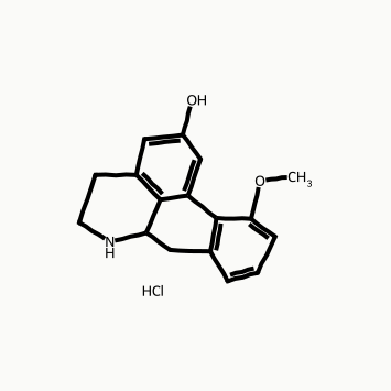 COc1cccc2c1-c1cc(O)cc3c1C(C2)NCC3.Cl